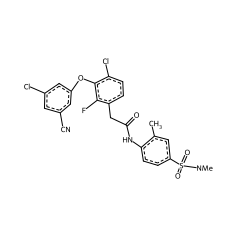 CNS(=O)(=O)c1ccc(NC(=O)Cc2ccc(Cl)c(Oc3cc(Cl)cc(C#N)c3)c2F)c(C)c1